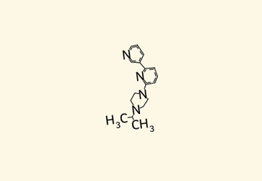 CC(C)N1CCN(c2cccc(-c3cccnc3)n2)CC1